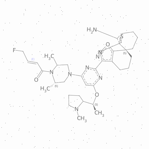 CC1CN(c2cc(O[C@@H](C)C3CCCN3C)nc(-c3noc4c3CCC[C@@]43CCCc4sc(N)c(C#N)c43)n2)C[C@H](C)N1C(=O)/C=C/CF